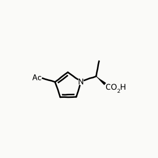 CC(=O)c1ccn([C@@H](C)C(=O)O)c1